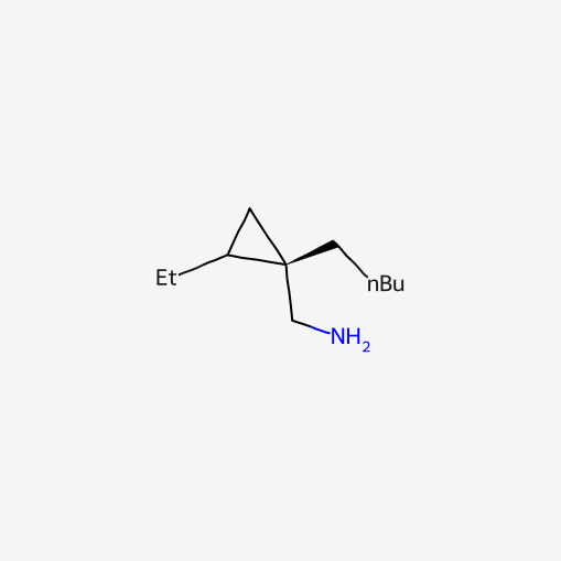 CCCCC[C@]1(CN)CC1CC